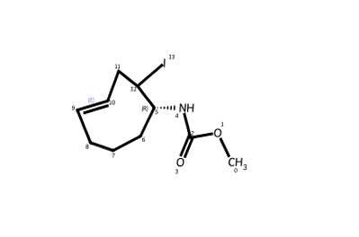 COC(=O)N[C@@H]1CCC/C=C/CC1I